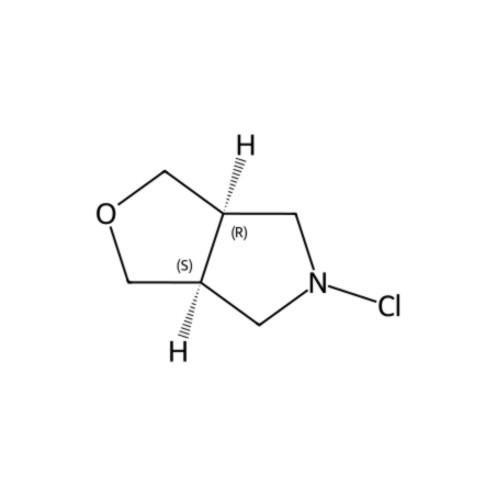 ClN1C[C@H]2COC[C@H]2C1